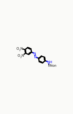 CCCCCCCCCNc1ccc(N=Nc2ccc([N+](=O)[O-])c([N+](=O)[O-])c2)cc1